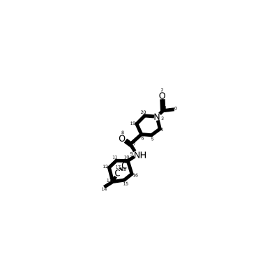 CC(=O)N1CCC(C(=O)NC23CCC(C)(CC2)CC3)CC1